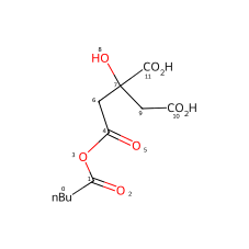 CCCCC(=O)OC(=O)CC(O)(CC(=O)O)C(=O)O